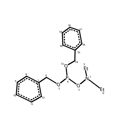 CCN(CC)OP(OCc1ccccc1)OCc1ccccc1